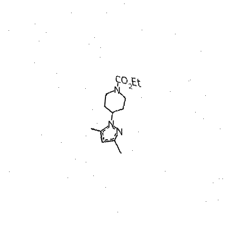 CCOC(=O)N1CCC(n2nc(C)cc2C)CC1